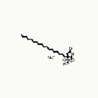 CCCCCCCCCCCCCCCCCCC1(S(=O)(=O)O)CC(=O)[N-]C1=O.[Na+]